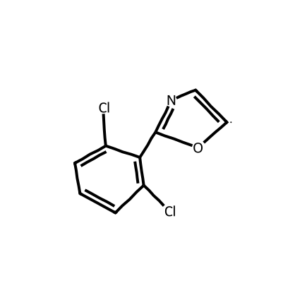 Clc1cccc(Cl)c1-c1nc[c]o1